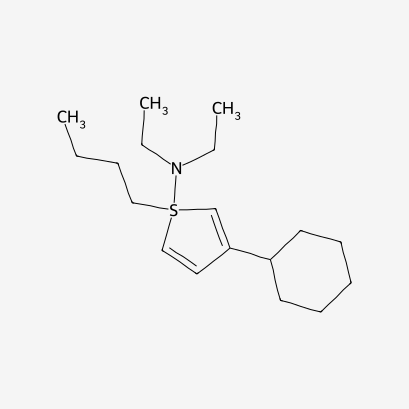 CCCCS1(N(CC)CC)C=CC(C2CCCCC2)=C1